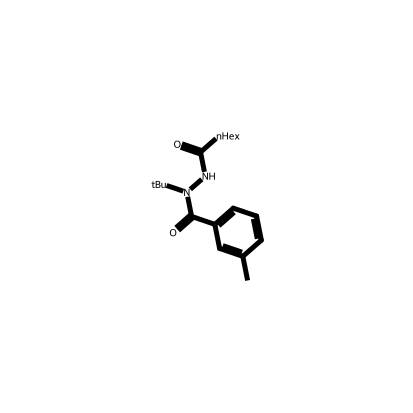 CCCCCCC(=O)NN(C(=O)c1cccc(C)c1)C(C)(C)C